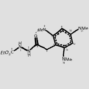 CCOC(=O)NNC(=O)Cc1c(NC)cc(NC)cc1NC